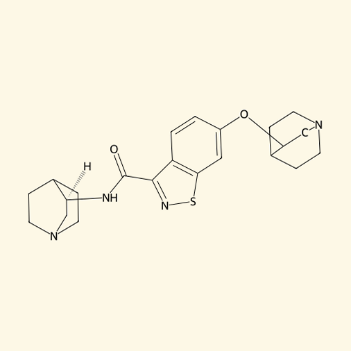 O=C(N[C@H]1CN2CCC1CC2)c1nsc2cc(OC3CN4CCC3CC4)ccc12